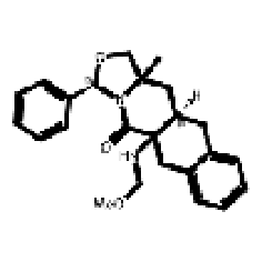 COCNC12Cc3ccccc3C[C@@H]1CC1(C)CO[C@H](c3ccccc3)N1C2=O